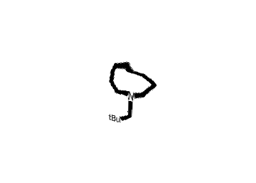 CC(C)(C)CN1CCCCCCC1